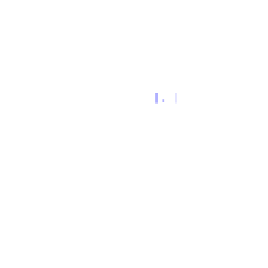 [C]1=CCCNCO1